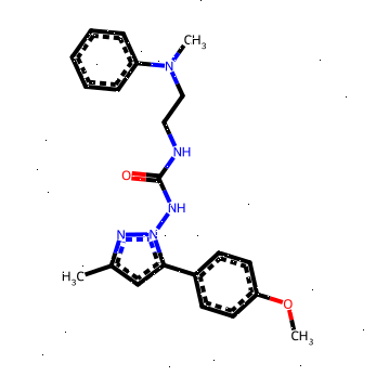 COc1ccc(-c2cc(C)nn2NC(=O)NCCN(C)c2ccccc2)cc1